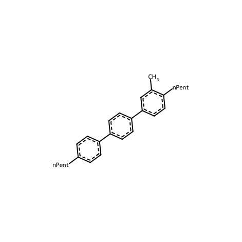 CCCCCc1ccc(-c2ccc(-c3ccc(CCCCC)c(C)c3)cc2)cc1